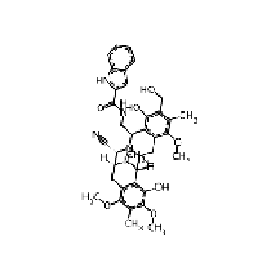 COc1c(C)c(OC)c2c(c1O)[C@H]1[C@@H]3Cc4c(OC)c(C)c(CO)c(O)c4[C@H](CNC(=O)c4cc5ccccc5[nH]4)N3[C@@H](C#N)[C@H](C2)N1C